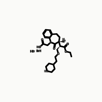 Br.Br.CCOC(=O)[C@H](COCCC1CCNCC1)[C@]1(N)CCc2ccccc2N(CC(=O)O)C1=O